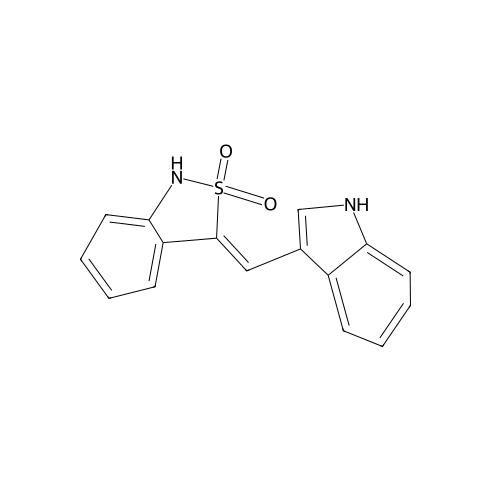 O=S1(=O)Nc2ccccc2C1=Cc1c[nH]c2ccccc12